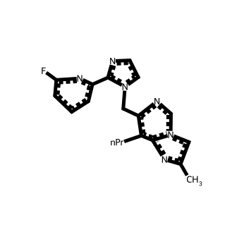 CCCc1c(Cn2ccnc2-c2cccc(F)n2)ncn2cc(C)nc12